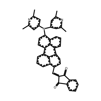 Cc1cc(N(c2cc(C)nc(C)c2)c2ccc3c4cccc5c(C=C6C(=O)c7ccccc7C6=O)ccc(c6cccc2c63)c54)cc(C)n1